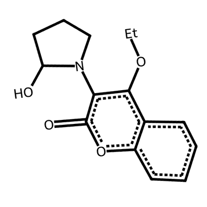 CCOc1c(N2CCCC2O)c(=O)oc2ccccc12